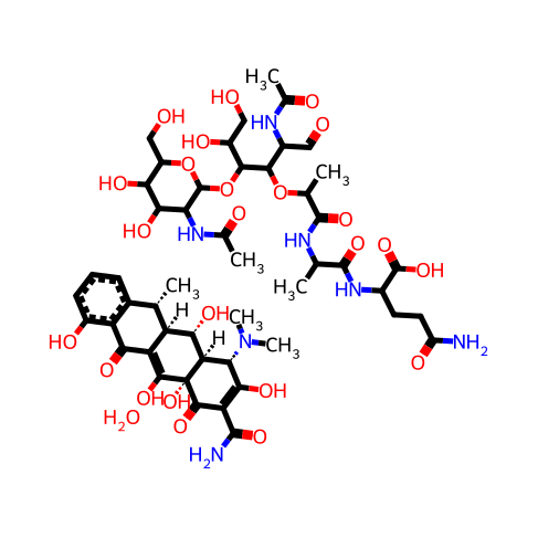 CC(=O)NC(C=O)C(OC(C)C(=O)NC(C)C(=O)NC(CCC(N)=O)C(=O)O)C(OC1OC(CO)C(O)C(O)C1NC(C)=O)C(O)CO.C[C@H]1c2cccc(O)c2C(=O)C2=C(O)[C@]3(O)C(=O)C(C(N)=O)=C(O)[C@@H](N(C)C)[C@@H]3[C@@H](O)[C@@H]21.O